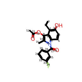 CCc1c(O)ccc2c1c(OC(C)=O)c(C)n2C(=O)c1cccc(F)c1